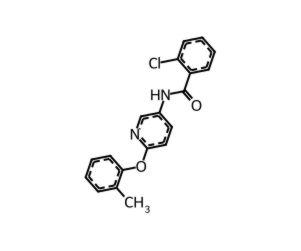 Cc1ccccc1Oc1ccc(NC(=O)c2ccccc2Cl)cn1